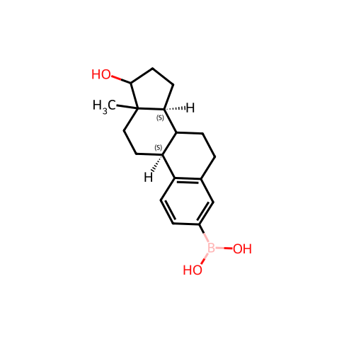 CC12CC[C@@H]3c4ccc(B(O)O)cc4CCC3[C@@H]1CCC2O